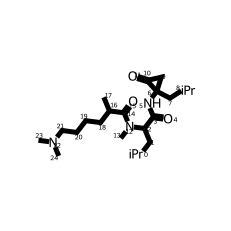 CC(C)CC(C(=O)NC1(CC(C)C)CC1=O)N(C)C(=O)C(C)CCCCN(C)C